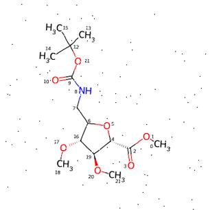 COC(=O)[C@H]1OC(CNC(=O)OC(C)(C)C)[C@@H](OC)[C@@H]1OC